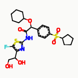 O=C(Nc1nc(C(O)CO)c(F)s1)C(OC1CCCCC1)c1ccc(S(=O)(=O)C2CCCC2)cc1